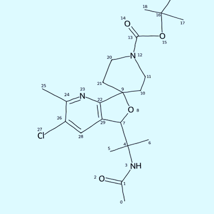 CC(=O)NC(C)(C)C1OC2(CCN(C(=O)OC(C)(C)C)CC2)c2nc(C)c(Cl)cc21